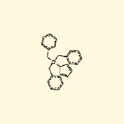 C1=C[CH]([Zr]([CH2]c2ccccc2)([CH2]c2ccccc2)[CH2]c2ccccc2)C=C1